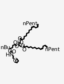 CCCCC/C=C\C/C=C\CCCCCCCC(=O)OCC(COC(=O)CCCCCCC/C=C\C/C=C\CCCCC)OC(O)CCC(CCCC)OC(=O)NCCN1CCCC1